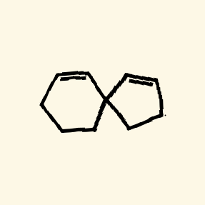 [CH]1C=CC2(C=CCCC2)C1